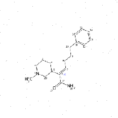 CN1CCCC(/C(=C\CCCc2ccccc2)C(N)=O)C1